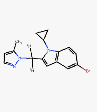 [2H]C([2H])(c1cc2cc(Br)ccc2n1C1CC1)n1nccc1C(F)(F)F